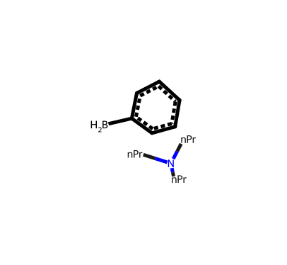 Bc1ccccc1.CCCN(CCC)CCC